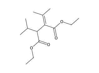 CCOC(=O)C(=C(C)C)C(C(=O)OCC)C(C)C